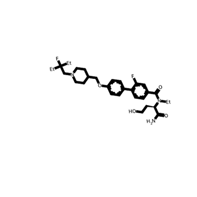 CCN(C(=O)c1ccc(-c2ccc(OCC3CCN(CC(F)(CC)CC)CC3)cc2)c(F)c1)[C@H](CCO)C(N)=O